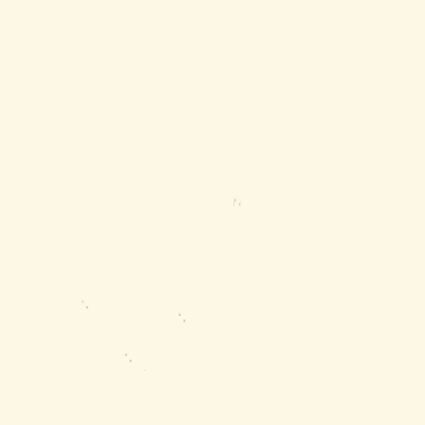 Cc1cc(C2CCN(S(=O)(=O)c3ccc4c(c3)OCO4)CC2)c(N)c(N)n1